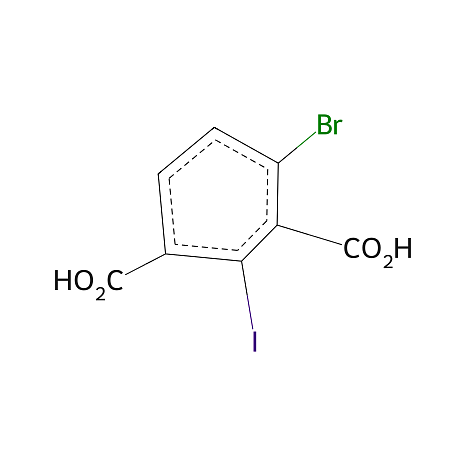 O=C(O)c1ccc(Br)c(C(=O)O)c1I